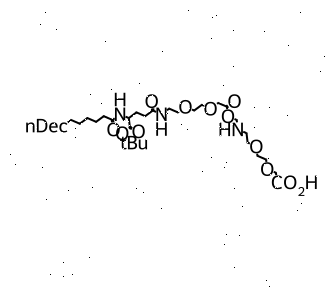 CCCCCCCCCCCCCCCC(=O)NC(CCC(=O)NCCOCCOCC(=O)OCNCCOCCOCC(=O)O)C(=O)OC(C)(C)C